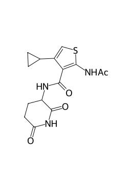 CC(=O)Nc1scc(C2CC2)c1C(=O)NC1CCC(=O)NC1=O